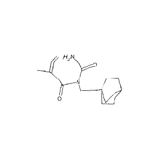 C=C(C)C(=O)N(CC12CCC(CC1)C2)C(N)=O